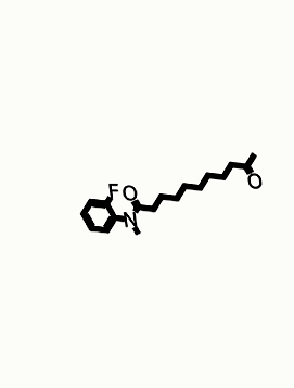 CC(=O)CCCCCCCCC(=O)N(C)c1ccccc1F